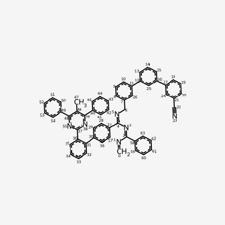 C=N/C(=N\C(=N/Cc1cccc(-c2cccc(-c3cccc(C#N)c3)c2)c1)c1ccc(-c2ccccc2-c2nc(-c3ccccc3)c(C)c(-c3ccccc3)n2)cc1)c1ccccc1